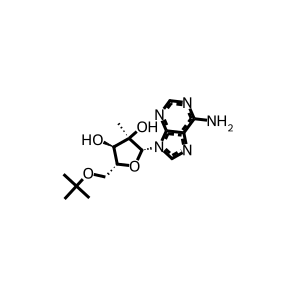 CC(C)(C)OC[C@H]1O[C@@H](n2cnc3c(N)ncnc32)[C@](C)(O)[C@@H]1O